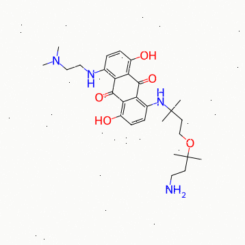 CN(C)CCNc1ccc(O)c2c1C(=O)c1c(O)ccc(NC(C)(C)CCOC(C)(C)CCN)c1C2=O